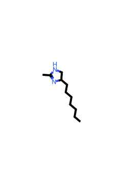 CCCCCCCC1CNC(C)=N1